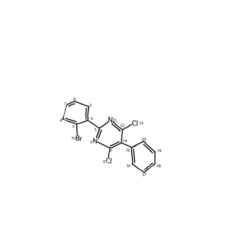 Clc1nc(-c2ccccc2Br)nc(Cl)c1-c1ccccc1